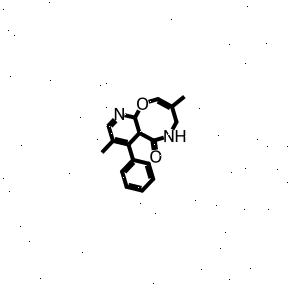 CC1=C(c2ccccc2)C2C(=O)NC/C(C)=C\OC2N=C1